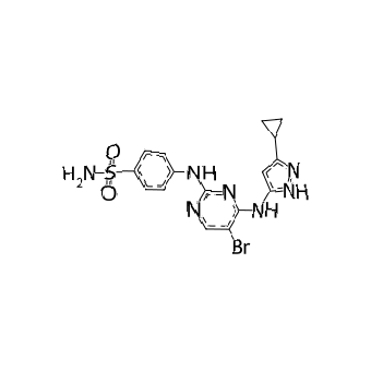 NS(=O)(=O)c1ccc(Nc2ncc(Br)c(Nc3cc(C4CC4)n[nH]3)n2)cc1